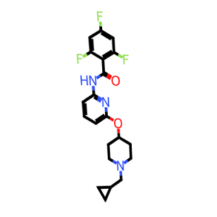 O=C(Nc1cccc(OC2CCN(CC3CC3)CC2)n1)c1c(F)cc(F)cc1F